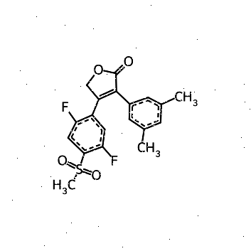 Cc1cc(C)cc(C2=C(c3cc(F)c(S(C)(=O)=O)cc3F)COC2=O)c1